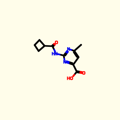 Cc1cc(C(=O)O)nc(NC(=O)C2CCC2)n1